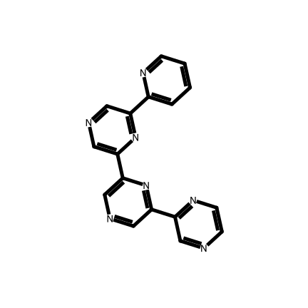 c1ccc(-c2cncc(-c3cncc(-c4cnccn4)n3)n2)nc1